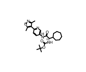 Cc1noc(C)c1-c1ccc(NC(=O)[C@@H](NC(=O)OC(C)(C)C)C2CCCCCC2)cn1